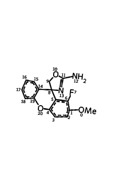 COc1ccc2c(c1F)C1(COC(N)=N1)c1ccccc1O2